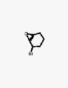 BrC1CCCC2=C1O2